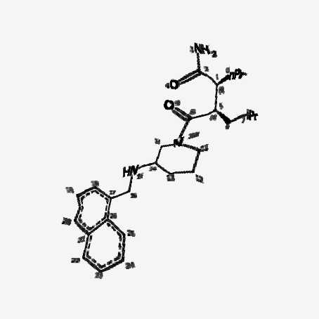 CCC[C@H](C(N)=O)[C@@H](CC(C)C)C(=O)N1CCCC(NCc2cccc3ccccc23)C1